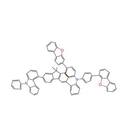 CC1(C)c2ccc(-c3ccccc3N(c3ccc(-c4ccc5c(c4)oc4ccccc45)cc3)c3ccc(-c4cccc5c4oc4ccccc45)cc3)cc2-c2ccc(-c3cccc4c3c3ccccc3n4-c3ccccc3)cc21